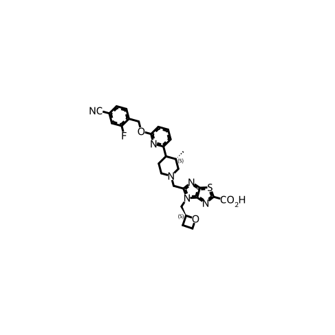 C[C@@H]1CN(Cc2nc3sc(C(=O)O)nc3n2C[C@@H]2CCO2)CCC1c1cccc(OCc2ccc(C#N)cc2F)n1